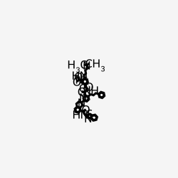 CN(C)CCCNc1ccc(S(=O)(=O)NC(=O)c2nc(N3CCc4cccc(C(=O)Nc5nc6ccccc6s5)c4C3)ccc2CCCc2ccccc2)cc1[N+](=O)[O-]